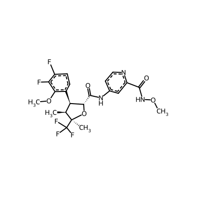 CONC(=O)c1cc(NC(=O)[C@@H]2O[C@@](C)(C(F)(F)F)[C@@H](C)[C@H]2c2ccc(F)c(F)c2OC)ccn1